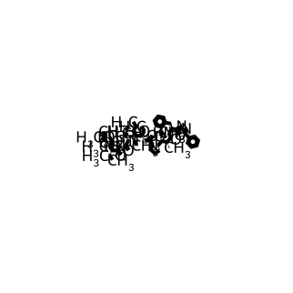 CC[C@H](C)[C@@H]([C@@H](CC(=O)N1CCC[C@H]1[C@H](OC)[C@@H](C)C(=O)N[C@@H](Cc1ccccc1)c1nnc(-c2ccccc2)o1)OC)N(C)[C@H](C(=O)NC(=O)[C@H](C(C)C)N(C)C(=O)OC(C)(C)C)C(C)C